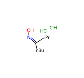 CCCCC(=NO)C(C)C.Cl.Cl